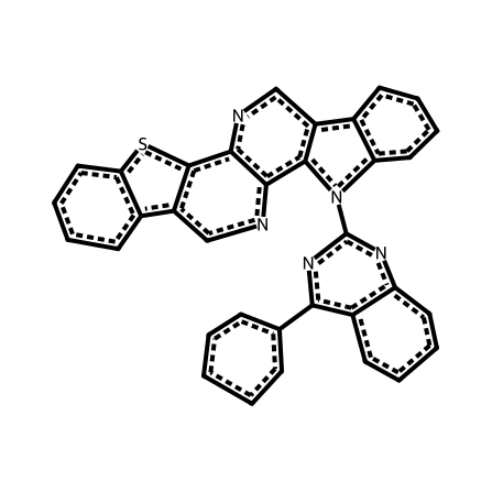 c1ccc(-c2nc(-n3c4ccccc4c4cnc5c(ncc6c7ccccc7sc65)c43)nc3ccccc23)cc1